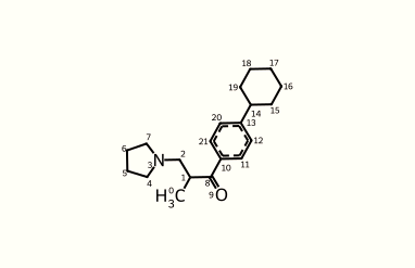 CC(CN1CCCC1)C(=O)c1ccc(C2CCCCC2)cc1